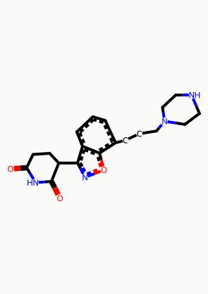 O=C1CCC(c2noc3c(CCCN4CCNCC4)cccc23)C(=O)N1